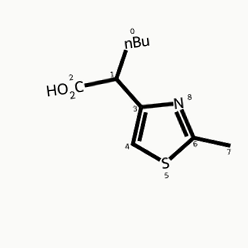 CCCCC(C(=O)O)c1csc(C)n1